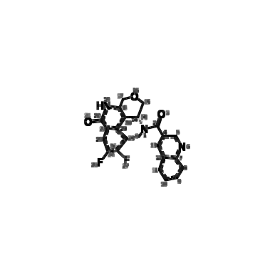 CN(C(=O)c1cnc2ccccc2c1)[C@H]1COCc2[nH]c(=O)c3cc(F)c(F)cc3c21